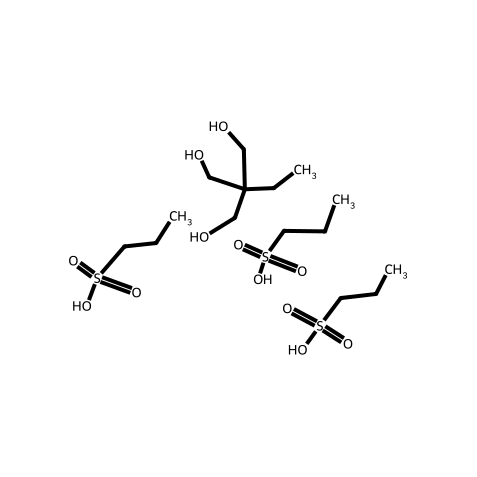 CCC(CO)(CO)CO.CCCS(=O)(=O)O.CCCS(=O)(=O)O.CCCS(=O)(=O)O